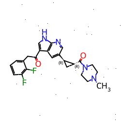 CN1CCN(C(=O)[C@@H]2C[C@H]2c2cnc3[nH]cc(C(=O)Cc4cccc(F)c4F)c3c2)CC1